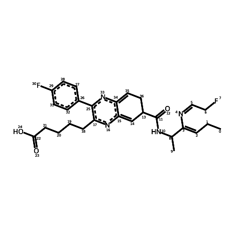 CC/C=C(\N=C/CF)C(C)NC(=O)C1C=c2nc(CCCCC(=O)O)c(-c3ccc(F)cc3)nc2=CC1